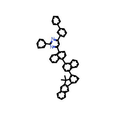 CC1(C)c2cc3ccccc3cc2-c2cccc(-c3ccc(-c4ccc(-c5cc(-c6cccc(-c7ccccc7)c6)nc(-c6ccccc6)n5)c5ccccc45)c4ccccc34)c21